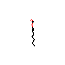 CCCCC/C=C/O[C]=O